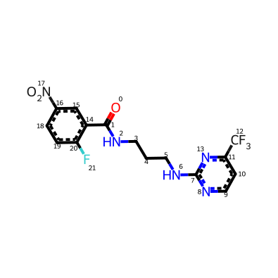 O=C(NCCCNc1nccc(C(F)(F)F)n1)c1cc([N+](=O)[O-])ccc1F